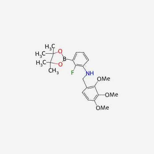 COc1ccc(CNc2cccc(B3OC(C)(C)C(C)(C)O3)c2F)c(OC)c1OC